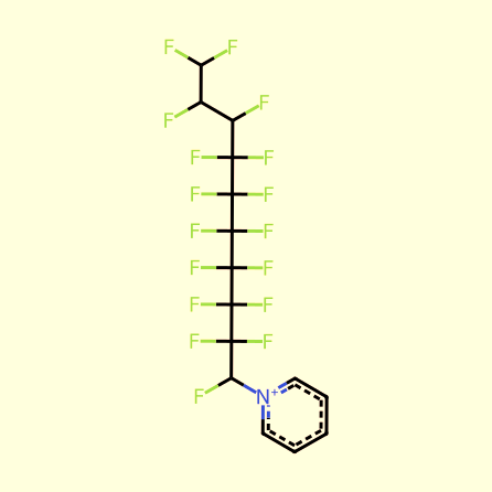 FC(F)C(F)C(F)C(F)(F)C(F)(F)C(F)(F)C(F)(F)C(F)(F)C(F)(F)C(F)[n+]1ccccc1